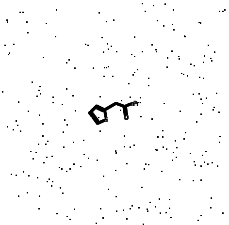 CCCC(=O)Cc1cccs1